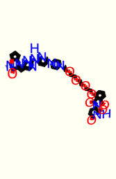 CN(C)C(=O)c1cc2cnc(Nc3ccc(N4CCN(CCOCCOCCOCCOc5cccc6c5C(=O)N(C5CCC(=O)NC5=O)C6=O)CC4)cn3)nc2n1C1CCCC1